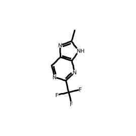 Cc1nc2cnc(C(F)(F)F)nc2[nH]1